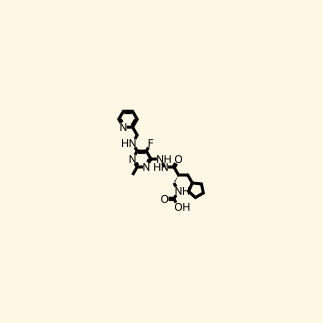 Cc1nc(NCc2ccccn2)c(F)c(NNC(=O)[C@@H](CNC(=O)O)CC2CCCC2)n1